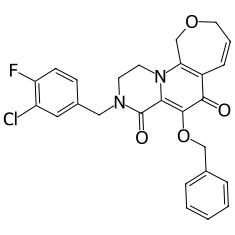 O=C1c2c(OCc3ccccc3)c(=O)c3c(n2CCN1Cc1ccc(F)c(Cl)c1)COCC=C3